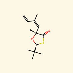 C=C/C(C)=C\[C@@]1(C)O[C@H](C(C)(C)C)SC1=O